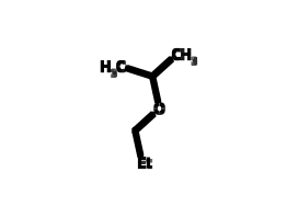 CCCOC(C)C